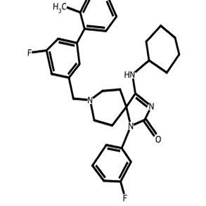 Cc1ccccc1-c1cc(F)cc(CN2CCC3(CC2)C(NC2CCCCC2)=NC(=O)N3c2cccc(F)c2)c1